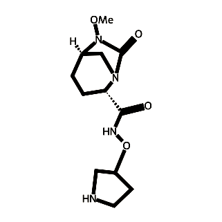 CON1C(=O)N2C[C@H]1CC[C@H]2C(=O)NOC1CCNC1